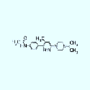 CC(=O)Nc1ccc(-c2nnc(N3CCN(C(C)C)CC3)cc2C)cc1